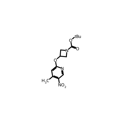 Cc1cc(OC2CN(C(=O)OC(C)(C)C)C2)ncc1[N+](=O)[O-]